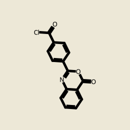 O=C(Cl)c1ccc(-c2nc3ccccc3c(=O)o2)cc1